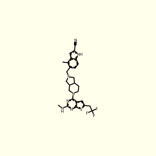 CNc1nc(N2CCC3CN(Cc4ccc5[nH]c(C#N)cc5c4C)CC3C2)c2cc(CC(F)(F)F)sc2n1